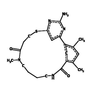 Cc1cc(C)c2cc1C(=O)NCCCCN(C)C(=O)CCSc1cc-2nc(N)n1